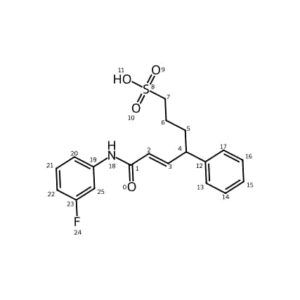 O=C(C=CC(CCCS(=O)(=O)O)c1ccccc1)Nc1cccc(F)c1